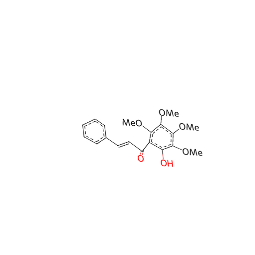 COc1c(O)c(C(=O)C=Cc2ccccc2)c(OC)c(OC)c1OC